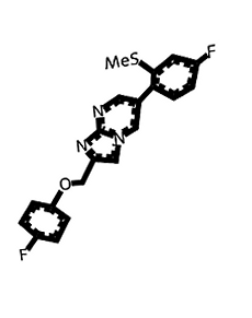 CSc1cc(F)ccc1-c1cnc2nc(COc3ccc(F)cc3)cn2c1